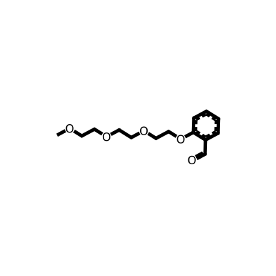 COCCOCCOCCOc1ccccc1C=O